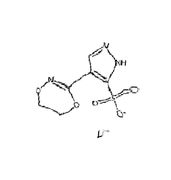 O=S(=O)([O-])c1[nH]ncc1C1=NOCCO1.[Li+]